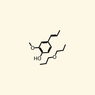 CC=Cc1ccc(O)c(OC)c1.CCCOCCC